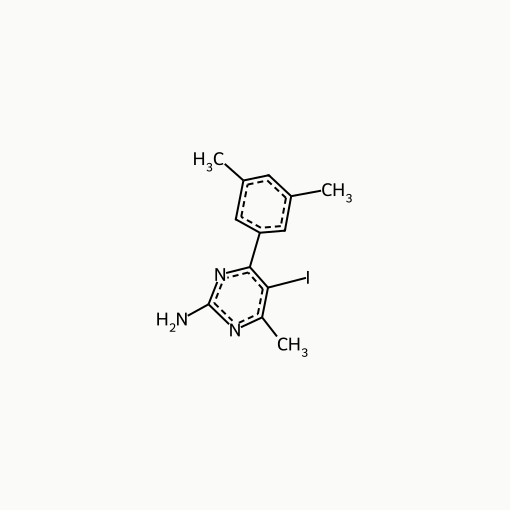 Cc1cc(C)cc(-c2nc(N)nc(C)c2I)c1